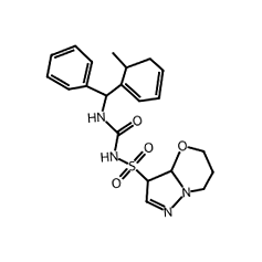 CC1CC=CC=C1C(NC(=O)NS(=O)(=O)C1C=NN2CCCOC12)c1ccccc1